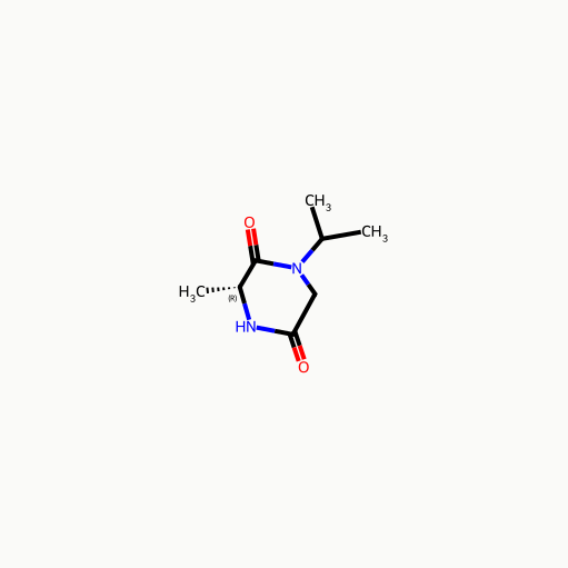 CC(C)N1CC(=O)N[C@H](C)C1=O